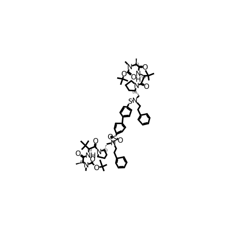 C[C@@H](C(=O)N[C@H](C(=O)N1CCC[C@H]1CN(CCc1ccccc1)Sc1ccc(-c2ccc(S(=O)(=O)N(CCc3ccccc3)C[C@@H]3CCCN3C(=O)[C@@H](NC(=O)[C@H](C)N(C)C(=O)OC(C)(C)C)C(C)(C)C)cc2)cc1)C(C)(C)C)N(C)C(=O)OC(C)(C)C